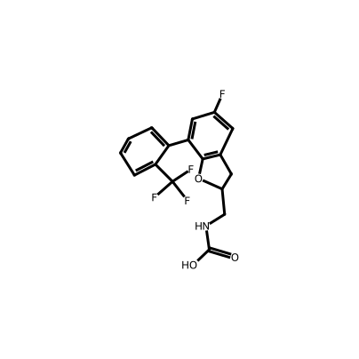 O=C(O)NCC1Cc2cc(F)cc(-c3ccccc3C(F)(F)F)c2O1